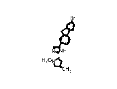 C=C1C[C@@H](c2ncc(-c3ccc4c(c3)Cc3cc(Br)ccc3-4)[nH]2)N(C)C1